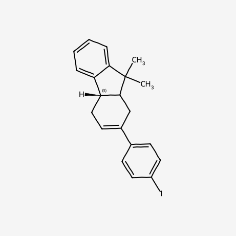 CC1(C)c2ccccc2[C@H]2CC=C(c3ccc(I)cc3)CC21